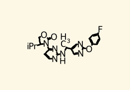 CC(Nc1nccc(N2C(=O)OCC2C(C)C)n1)c1cnc(Oc2ccc(F)cc2)nc1